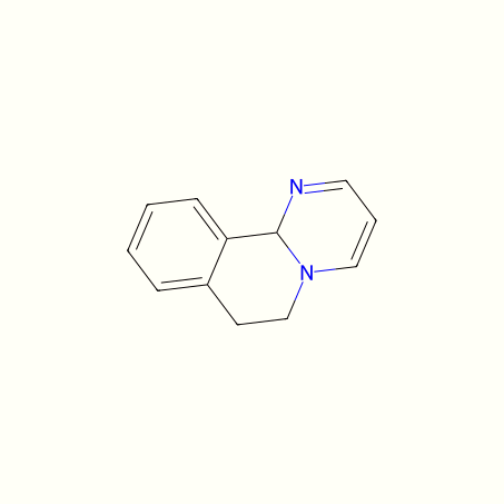 C1=CN2CCc3ccccc3C2N=C1